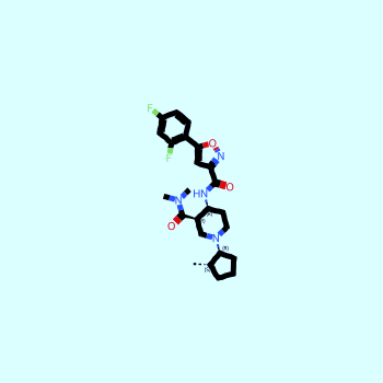 C[C@H]1CCC[C@H]1N1CC[C@@H](NC(=O)c2cc(-c3ccc(F)cc3F)on2)[C@H](C(=O)N(C)C)C1